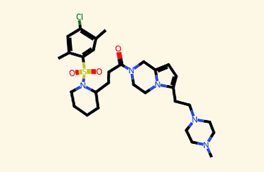 Cc1cc(S(=O)(=O)N2CCCCC2CCC(=O)N2CCn3c(CCN4CCN(C)CC4)ccc3C2)c(C)cc1Cl